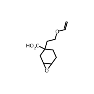 C=COCCC1(C(=O)O)CCC2OC2C1